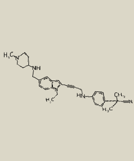 CCn1c(C#CCNc2ccc(C(C)(C)C#N)cc2)cc2cc(CNC3CCN(C)CC3)ccc21